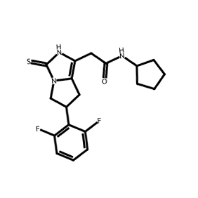 O=C(Cc1[nH]c(=S)n2c1CC(c1c(F)cccc1F)C2)NC1CCCC1